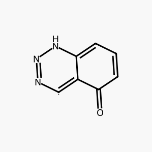 O=c1cccc2[nH]nn[c]c1-2